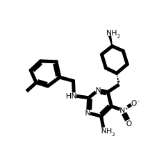 Cc1cccc(CNc2nc(N)c([N+](=O)[O-])c(C[C@H]3CC[C@H](N)CC3)n2)c1